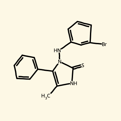 Cc1[nH]c(=S)n(Nc2cccc(Br)c2)c1-c1ccccc1